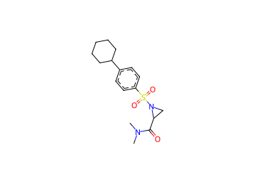 CN(C)C(=O)C1CN1S(=O)(=O)c1ccc(C2CCCCC2)cc1